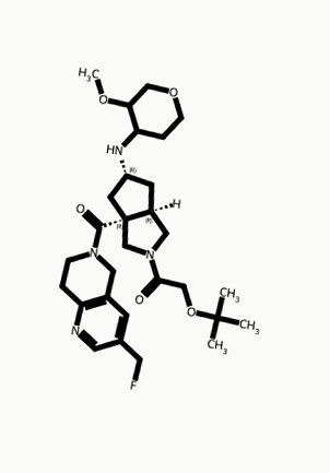 COC1COCCC1N[C@@H]1C[C@H]2CN(C(=O)COC(C)(C)C)C[C@@]2(C(=O)N2CCc3ncc(CF)cc3C2)C1